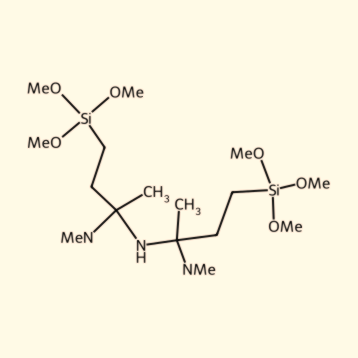 CNC(C)(CC[Si](OC)(OC)OC)NC(C)(CC[Si](OC)(OC)OC)NC